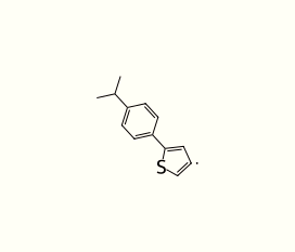 CC(C)c1ccc(-c2c[c]cs2)cc1